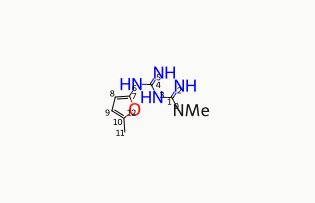 CNC(=N)NC(=N)Nc1ccc(C)o1